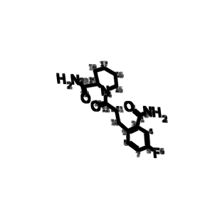 NC(=O)c1cc(F)ccc1C[CH]C(=O)N1CCCCC1C(N)=O